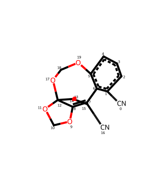 N#Cc1cccc2c1C1=C3OCOC3(C=CC1C#N)OCO2